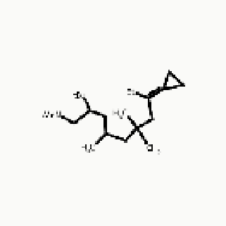 CCC(CC(C)(C)CC(C)CC(CNC)C(C)(C)C)=C1CC1